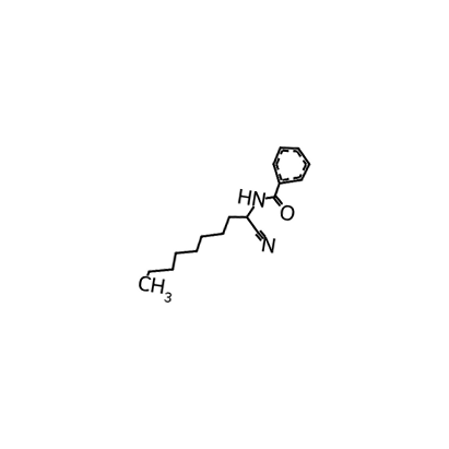 CCCCCCCCC(C#N)NC(=O)c1ccccc1